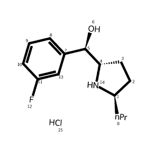 CCC[C@@H]1CC[C@@H]([C@H](O)c2cccc(F)c2)N1.Cl